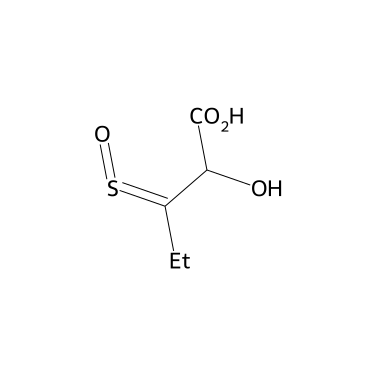 CCC(=S=O)C(O)C(=O)O